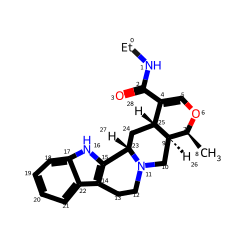 CCNC(=O)C1=CO[C@@H](C)[C@H]2CN3CCc4c([nH]c5ccccc45)[C@@H]3C[C@H]12